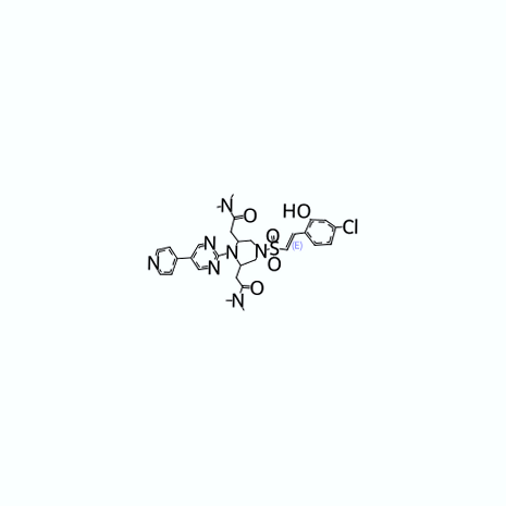 CN(C)C(=O)CC1CN(S(=O)(=O)/C=C/c2ccc(Cl)cc2O)CC(CC(=O)N(C)C)N1c1ncc(-c2ccncc2)cn1